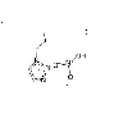 CCCn1ccnn1.O=[N+]([O-])O